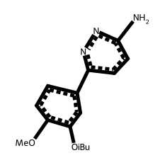 COc1ccc(-c2ccc(N)nn2)cc1OCC(C)C